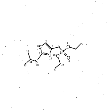 CCOP(=O)(Cc1csc(SC(C)C)n1)OCC